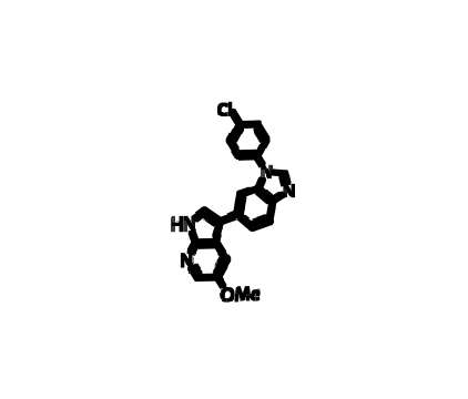 COc1cnc2[nH]cc(-c3ccc4ncn(-c5ccc(Cl)cc5)c4c3)c2c1